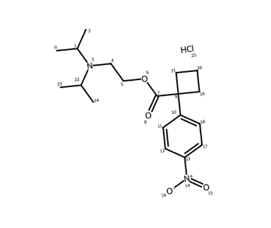 CC(C)N(CCOC(=O)C1(c2ccc([N+](=O)[O-])cc2)CCC1)C(C)C.Cl